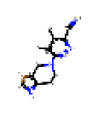 Cc1c(C#N)nnc(N2CCc3ncsc3C2)c1C